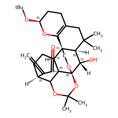 C=C1C(=O)[C@@]23C4OC(C)(C)O[C@]25OC[C@]2(C6=C(CC[C@H](OC(C)(C)C)O6)CC(C)(C)[C@H]2[C@@H]5O)[C@@H]3CC[C@@H]14